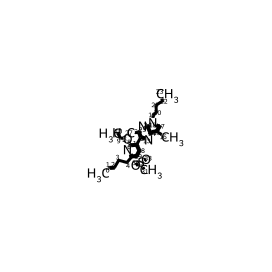 CC=CCCc1nc(OCC)c(-c2nc3c(C)cn(CCCCC)c3nc2C)cc1S(C)(=O)=O